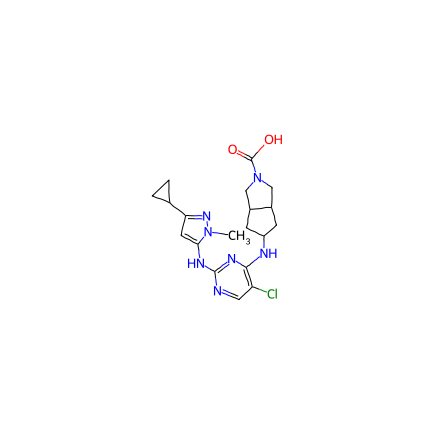 Cn1nc(C2CC2)cc1Nc1ncc(Cl)c(NC2CC3CN(C(=O)O)CC3C2)n1